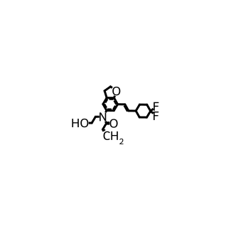 C=CC(=O)N(CCO)c1cc(C=CC2CCC(F)(F)CC2)c2c(c1)CCO2